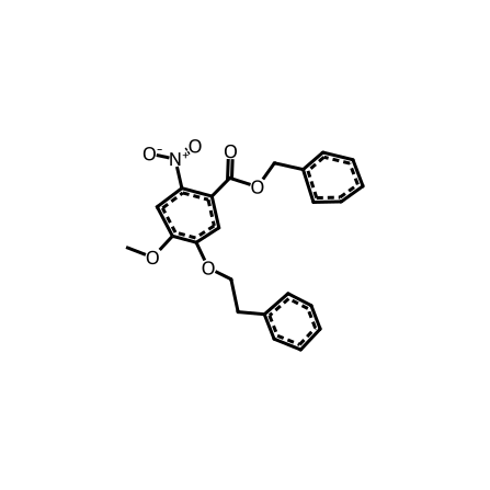 COc1cc([N+](=O)[O-])c(C(=O)OCc2ccccc2)cc1OCCc1ccccc1